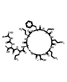 CC(C)C[C@@H]1NC(=O)[C@H](Cc2ccccc2)NC(=O)[C@H](CCN)NC(=O)[C@H](NC(=O)[C@@H](CCN)NC(=O)[C@@H](NC(=O)NC(C=O)C(C)C)[C@H](C)O)CCNC(=O)[C@H]([C@@H](C)O)NC(=O)C(CCN)NC(=O)C(CCN)NC1=O